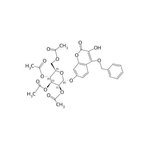 CC(=O)OC[C@H]1O[C@H](Oc2ccc3c(OCc4ccccc4)c(O)c(=O)oc3c2)[C@@H](OC(C)=O)[C@@H](OC(C)=O)[C@@H]1OC(C)=O